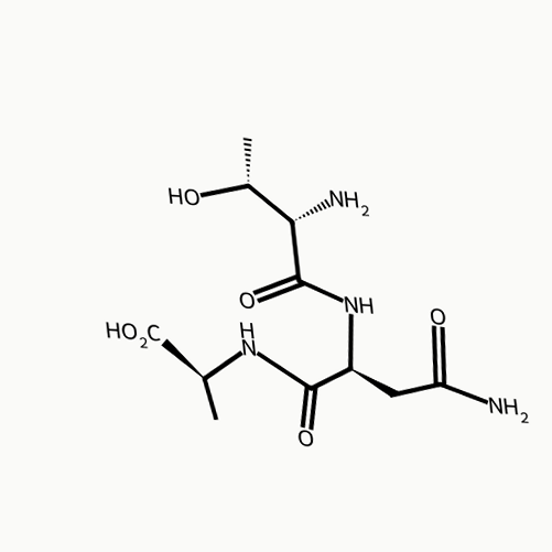 C[C@H](NC(=O)[C@H](CC(N)=O)NC(=O)[C@@H](N)[C@@H](C)O)C(=O)O